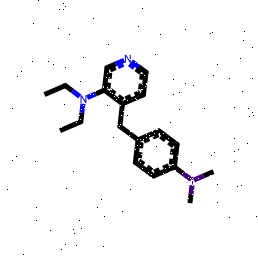 CCN(CC)c1cnccc1Cc1ccc(I(C)C)cc1